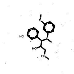 CNCC(O)C(c1ccccc1)N(C)c1cccc(OC)c1.Cl